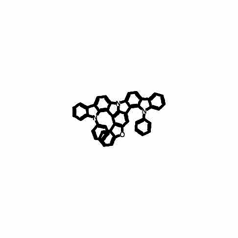 c1ccc(-n2c3ccccc3c3ccc4c(c5cc6oc7ccccc7c6c6c7c8c(ccc7n4c56)c4ccccc4n8-c4ccccc4)c32)cc1